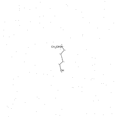 CN(O)CCCCO